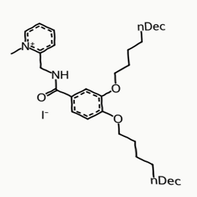 CCCCCCCCCCCCCCOc1ccc(C(=O)NCc2cccc[n+]2C)cc1OCCCCCCCCCCCCCC.[I-]